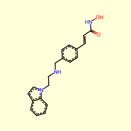 O=C(/C=C/c1ccc(CNCCn2ccc3ccccc32)cc1)NO